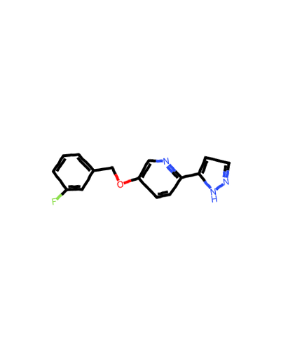 Fc1cccc(COc2ccc(-c3ccn[nH]3)nc2)c1